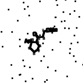 COCCC(=O)C1CCCCC1C(C)=O